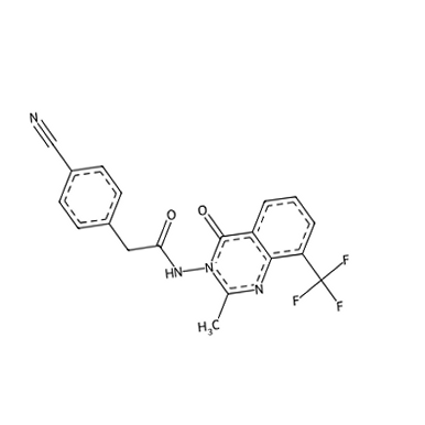 Cc1nc2c(C(F)(F)F)cccc2c(=O)n1NC(=O)Cc1ccc(C#N)cc1